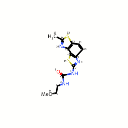 COCCNC(=O)Nc1nc2ccc3sc(C)nc3c2s1